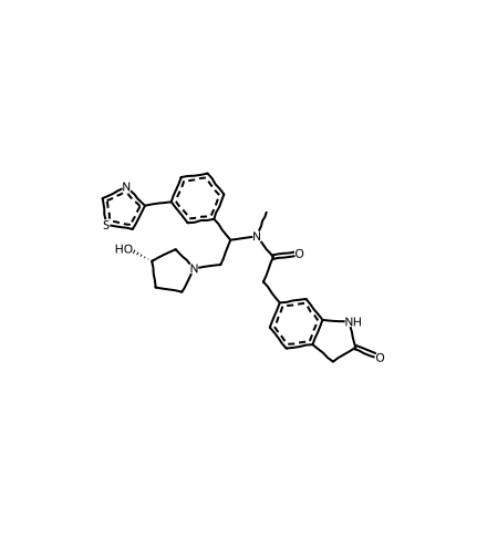 CN(C(=O)Cc1ccc2c(c1)NC(=O)C2)C(CN1CC[C@H](O)C1)c1cccc(-c2cscn2)c1